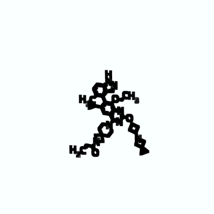 C=CC(=O)N1CC2(CCN(c3nc(O[C@H]4C[C@H](N5CC6(CC6)C5)C4)nc4c(OCC)c(-c5c(C)ccc6[nH]ncc56)c(C5CC5)cc34)CC2)C1